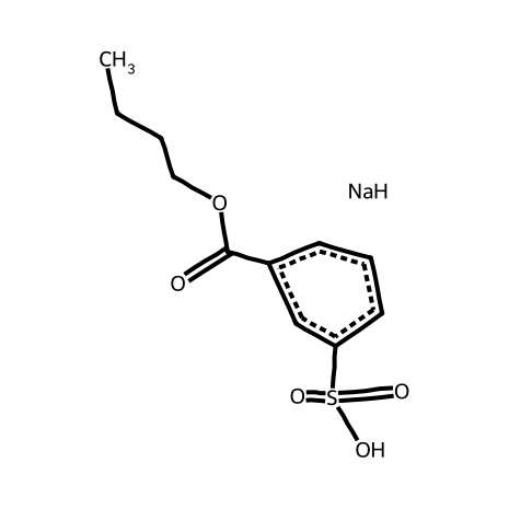 CCCCOC(=O)c1cccc(S(=O)(=O)O)c1.[NaH]